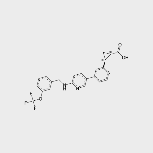 O=C(O)[C@H]1C[C@@H]1c1cc(-c2ccc(NCc3cccc(OC(F)(F)F)c3)nc2)ccn1